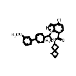 COc1cccc(-c2ccc(C(C)n3ncc4c(Cl)ccc(C(=O)NC5CC6(CCC6)C5)c43)cc2)c1